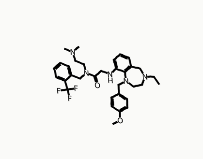 CCN1CCN(Cc2ccc(OC)cc2)c2c(cccc2NCC(=O)N(CCN(C)C)Cc2ccccc2C(F)(F)F)C1